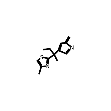 C=C1C=C(C(C)(CC)c2nc(C)cs2)C=N1